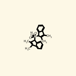 [CH2]=[Zr]([Cl])([Cl])([CH]1C(C)=C(C)c2ccccc21)[CH]1C(C)=C(C)c2ccccc21